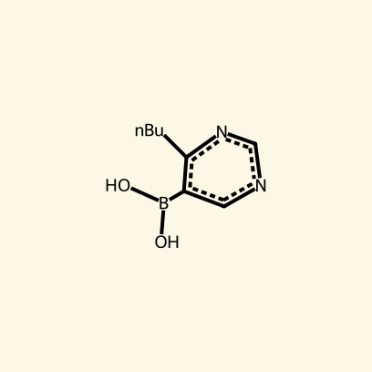 CCCCc1ncncc1B(O)O